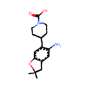 CC1(C)Cc2cc(N)c(C3CCN(C(=O)O)CC3)cc2O1